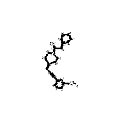 Cc1cccc(C#CC=C2CCN(C(=O)Cc3ccccc3)CC2)n1